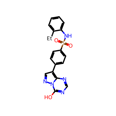 CCc1ccccc1NS(=O)(=O)c1ccc(-c2cnn3c(O)ncnc23)cc1